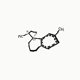 N#C[C@H]1CC[C@]12CCCc1ccc(O)cc12